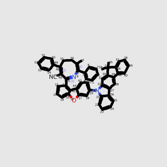 C/C1=C(c2ccccc2)/N=C(c2cccc3oc4cc(-n5c6ccccc6c6cc7c(cc65)C(C)(C)c5ccccc5-7)ccc4c23)\C(C#N)=C(\c2ccccc2)CC1